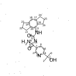 CC(C)(O)c1ccc([S@](N)(=O)=NC(=O)Nc2c3c(cc4c2CCC4)CCC3)cn1